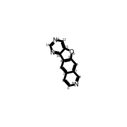 c1cc2cc3c(cc2cn1)oc1cncnc13